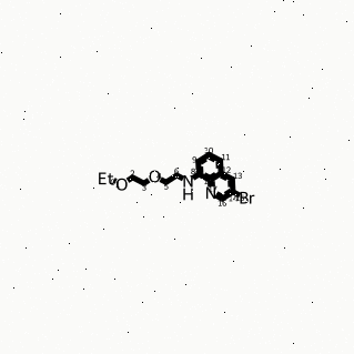 CCOCCOCCNc1cccc2cc(Br)cnc12